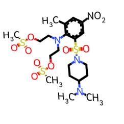 Cc1cc([N+](=O)[O-])cc(S(=O)(=O)N2CCC(N(C)C)CC2)c1N(CCOS(C)(=O)=O)CCOS(C)(=O)=O